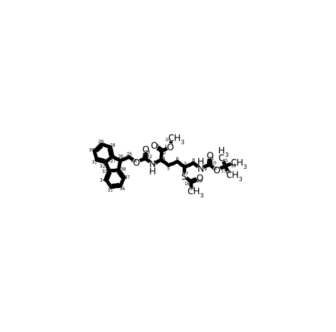 COC(=O)C(CCC(CNC(=O)OC(C)(C)C)SC(C)=O)NC(=O)OCC1c2ccccc2-c2ccccc21